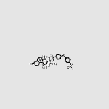 CC(=O)Oc1ccc(Sc2ccc(C(=O)O[C@@]3(C(=O)O)CC[C@H]4[C@@H]5CCC6=CC(=O)C=C[C@]6(C)C5(F)[C@@H](O)C[C@@]43C)cc2)cc1